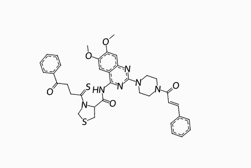 COc1cc2nc(N3CCN(C(=O)C=Cc4ccccc4)CC3)nc(NC(=O)C3CSCN3C(=S)CCC(=O)c3ccccc3)c2cc1OC